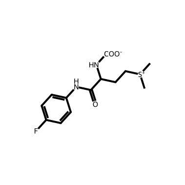 C[S+](C)CCC(NC(=O)[O-])C(=O)Nc1ccc(F)cc1